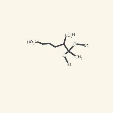 CCOC(C)(OCC)C(CCCC(=O)O)C(=O)O